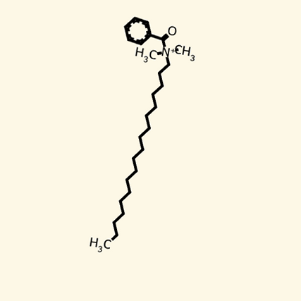 CCCCCCCCCCCCCCCCCC[N+](C)(C)C(=O)c1ccccc1